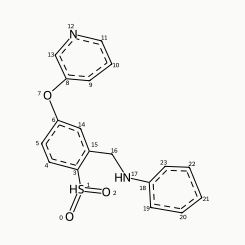 O=[SH](=O)c1ccc(Oc2cccnc2)cc1CNc1ccccc1